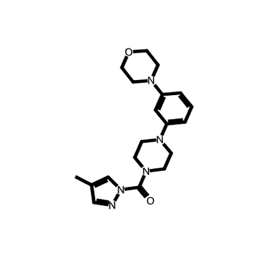 Cc1cnn(C(=O)N2CCN(c3cccc(N4CCOCC4)c3)CC2)c1